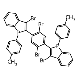 Cc1ccc(-p2c(-c3cc(Br)c(-c4c(Br)c5ccccc5p4-c4ccc(C)cc4)cc3Br)c(Br)c3ccccc32)cc1